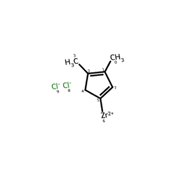 CC1=C(C)C[C]([Zr+2])=C1.[Cl-].[Cl-]